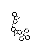 Cn1c2ccccc2c2cc(Cc3ccc4c(c3)c3cc5c(cc3n4C)C(c3ccccc3)(c3ccccc3)c3ccccc3-5)ccc21